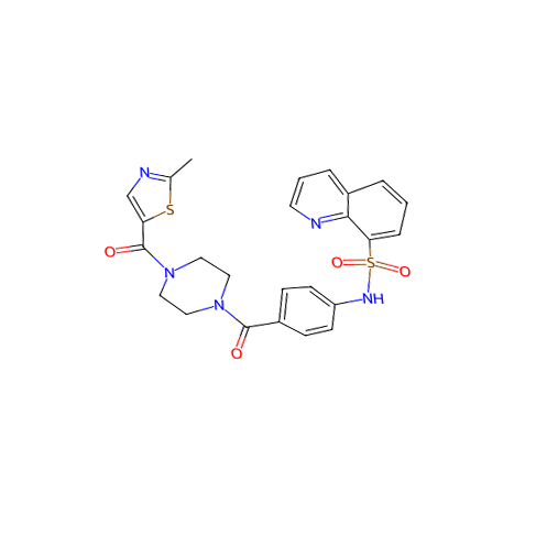 Cc1ncc(C(=O)N2CCN(C(=O)c3ccc(NS(=O)(=O)c4cccc5cccnc45)cc3)CC2)s1